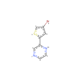 Brc1csc(-c2cnccn2)c1